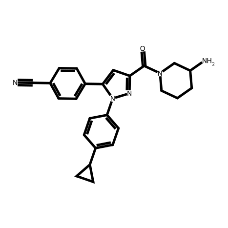 N#Cc1ccc(-c2cc(C(=O)N3CCCC(N)C3)nn2-c2ccc(C3CC3)cc2)cc1